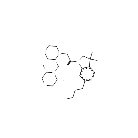 CCC[C@@H](O)c1cc2c(cn1)C(C)(C)CN2C(=O)CN1C[C@@H](C)NC[C@@H]1CN1[C@H](C)COC[C@H]1C